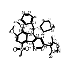 COc1cc(S(C)(=O)=O)c2c3ncc(-c4c(C)nnn4C)cc3n([C@H](c3ccccc3)C3CCOCC3)c2c1OC